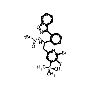 CC(C)(C)[S@+]([O-])NC(Cc1cc([Si](C)(C)C)c(F)c(Br)n1)c1ccccc1-c1noc2ccccc12